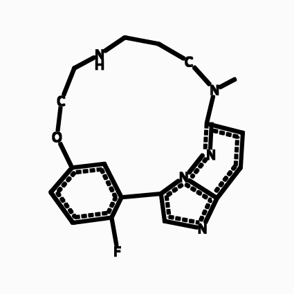 CN1CCCNCCOc2ccc(F)c(c2)-c2cnc3ccc1nn23